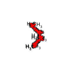 CC(C)c1ccc(N(c2ccc3cc4c(cc3c2)oc2c4ccc3c4cc5ccc(N(c6ccc(C(C)Cc7cc(C(C)(C)C)c8oc9c(N(c%10ccccc%10)c%10ccc%11cc%12c(cc%11c%10)oc%10c%12ccc%11c%12cc%13ccc(N(c%14ccccc%14)c%14cccc%15c%14oc%14c(C(C)(C)C)cccc%14%15)cc%13cc%12oc%11%10)cccc9c8c7)cc6)c6cccc7c6oc6ccccc67)cc5cc4oc32)c2cccc3c2oc2ccccc23)cc1